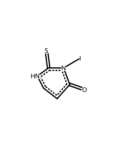 O=c1cc[nH]c(=S)n1I